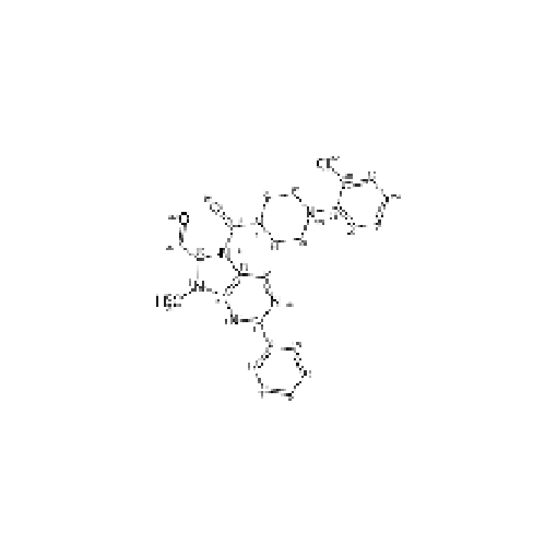 CN1c2nc(-c3ccccc3)ncc2N(C(=O)N2CCN(c3ccccc3Cl)CC2)C1C=O